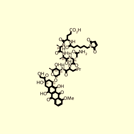 COc1cccc2c1C(=O)c1c(O)c3c(c(O)c1C2=O)C[C@@](O)(C(=O)CO)C[C@@H]3O[C@H]1C[C@H](NC(=O)C(CC(C)C)NC(=O)[C@@H](CC(N)=O)NC(=O)[C@@H](C)NC(=O)[C@@H](C)NC(=O)C(CCC(=O)O)NC(=O)CCCCCN2C(=O)C=CC2=O)[C@H](O)[C@H](C)O1